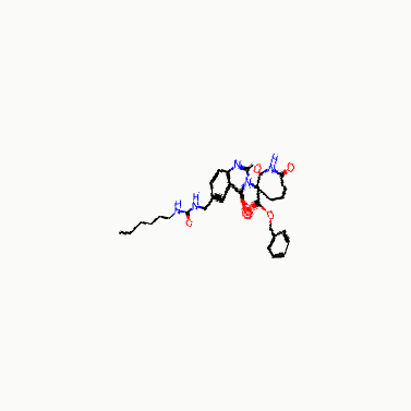 CCCCCCNC(=O)NCc1ccc2nc(C)n(C3(C(=O)OCc4ccccc4)CCCC(=O)NC3=O)c(=O)c2c1